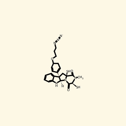 CN1C(=O)[C@@]2(S)C[C@]3(C4=CCC(OCCCN=[N+]=[N-])C=C4)c4ccccc4N[C@@H]3N2C(=O)[C@@H]1S